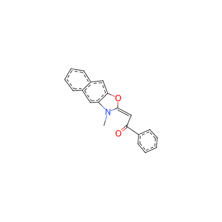 CN1C(=CC(=O)c2ccccc2)Oc2cc3ccccc3cc21